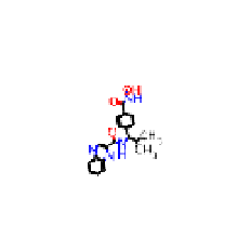 CC(C)C(NC(=O)c1cnc2ccccc2n1)c1ccc(C(=O)NO)cc1